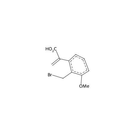 C=C(C(=O)O)c1cccc(OC)c1CBr